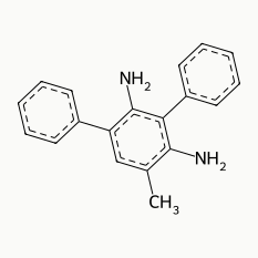 Cc1cc(-c2ccccc2)c(N)c(-c2ccccc2)c1N